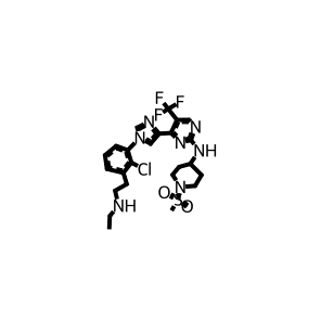 CCNCCc1cccc(-n2cnc(-c3nc(NC4CCN(S(C)(=O)=O)CC4)ncc3C(F)(F)F)c2)c1Cl